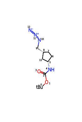 CC(C)(C)OC(=O)N[C@H]1CC[C@@H](CN=[N+]=[N-])C1